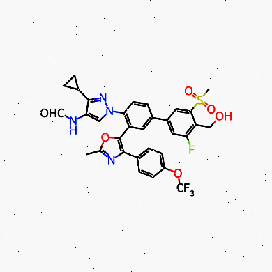 Cc1nc(-c2ccc(OC(F)(F)F)cc2)c(-c2cc(-c3cc(F)c(CO)c(S(C)(=O)=O)c3)ccc2-n2cc(NC=O)c(C3CC3)n2)o1